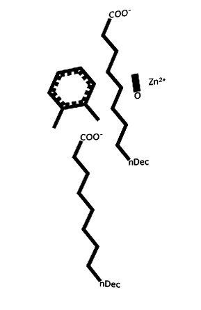 C=O.CCCCCCCCCCCCCCCCCC(=O)[O-].CCCCCCCCCCCCCCCCCC(=O)[O-].Cc1ccccc1C.[Zn+2]